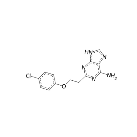 Nc1nc(CCOc2ccc(Cl)cc2)nc2[nH]cnc12